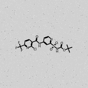 CC(C)(C)OC(=O)NS(=O)(=O)c1cc(NC(=O)c2ccc(C(F)(F)F)nc2Cl)ccn1